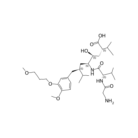 COCCCOc1cc(C[C@@H](C[C@H](NC(=O)[C@@H](NC(=O)CN)C(C)C)[C@@H](O)C[C@H](C(=O)O)C(C)C)C(C)C)ccc1OC